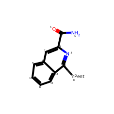 CCCCCc1nc(C(N)=O)cc2ccccc12